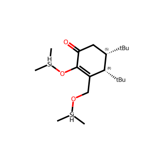 C[SiH](C)OCC1=C(O[SiH](C)C)C(=O)C[C@H](C(C)(C)C)[C@@H]1C(C)(C)C